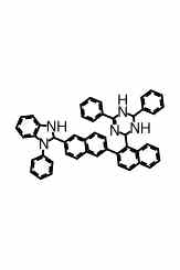 c1ccc(C2=NC(c3c(-c4ccc5cc(C6Nc7ccccc7N6c6ccccc6)ccc5c4)ccc4ccccc34)NC(c3ccccc3)N2)cc1